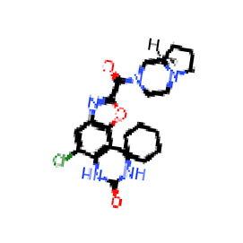 O=C1Nc2c(Cl)cc3nc(C(=O)N4CCN5CCC[C@@H]5C4)oc3c2C2(CCCCC2)N1